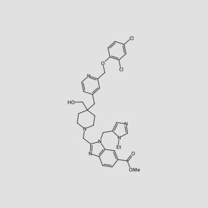 CCn1cncc1Cn1c(CN2CCC(CO)(Cc3ccnc(COc4ccc(Cl)cc4Cl)c3)CC2)nc2ccc(C(=O)OC)cc21